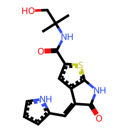 CC(C)(CO)NC(=O)c1cc2c(s1)NC(=O)/C2=C/c1ccc[nH]1